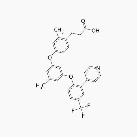 Cc1cc(Oc2ccc(CCC(=O)O)c(C)c2)cc(Oc2ccc(C(F)(F)F)cc2-c2ccncc2)c1